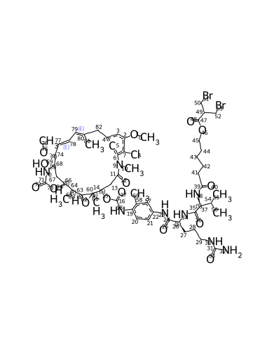 COc1cc2cc(c1Cl)N(C)C(=O)C[C@H](OC(=O)Nc1ccc(NC(=O)[C@H](CCCNC(N)=O)NC(=O)[C@@H](NC(=O)CCCCCOC(=O)C(CBr)CBr)C(C)C)cc1C)[C@]1(C)O[C@H]1[C@H](C)[C@@H]1C[C@@](O)(NC(=O)O1)[C@H](OC)/C=C/C=C(\C)C2